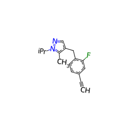 C#Cc1ccc(Cc2cnn(C(C)C)c2C)c(F)c1